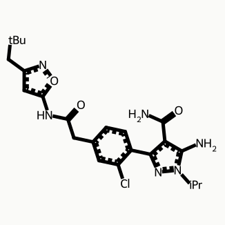 CC(C)n1nc(-c2ccc(CC(=O)Nc3cc(CC(C)(C)C)no3)cc2Cl)c(C(N)=O)c1N